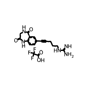 N=C(N)NCCCC#Cc1ccc2c(c1)C(=O)NCC(=O)N2.O=C(O)C(F)(F)F